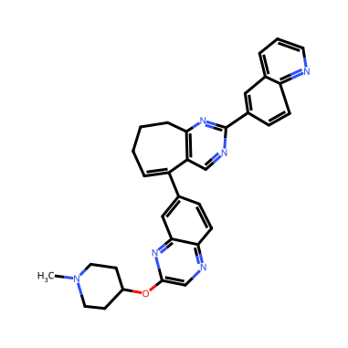 CN1CCC(Oc2cnc3ccc(C4=CCCCc5nc(-c6ccc7ncccc7c6)ncc54)cc3n2)CC1